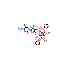 CC(C)OC(=O)[C@H](C)NP(=O)(OC[C@H]1O[C@@H](n2cc(F)c(N)nc2=O)C(F)(F)C1(C)COP(=O)(N[C@@H](C)C(=O)OC(C)C)Oc1ccccc1)Oc1ccccc1